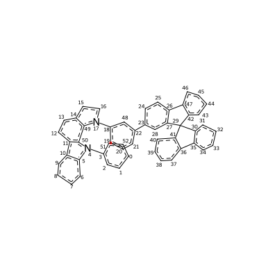 c1ccc(-n2c3ccccc3c3ccc4ccn(-c5cccc(-c6ccc7c(c6)C6(c8ccccc8-c8ccccc86)c6ccccc6-7)c5)c4c32)cc1